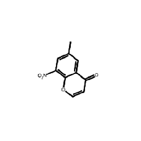 Cc1cc([N+](=O)[O-])c2occc(=O)c2c1